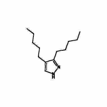 CCCCCc1c[nH]nc1CCCCC